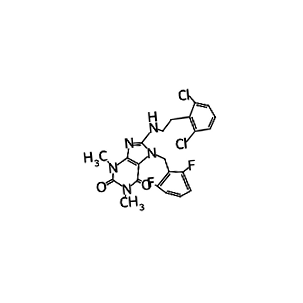 Cn1c(=O)c2c(nc(NCCc3c(Cl)cccc3Cl)n2Cc2c(F)cccc2F)n(C)c1=O